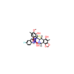 COc1c(C)cc2c(c1O)[C@H]1C3[C@@H]4SC[C@]5(NC(C)Cc6c5[nH]c5ccc(F)cc65)C(=O)OC[C@@H](c5c6c(c(C)c(O)c54)OCO6)N3[C@@H](O)[C@H](C2)N1C